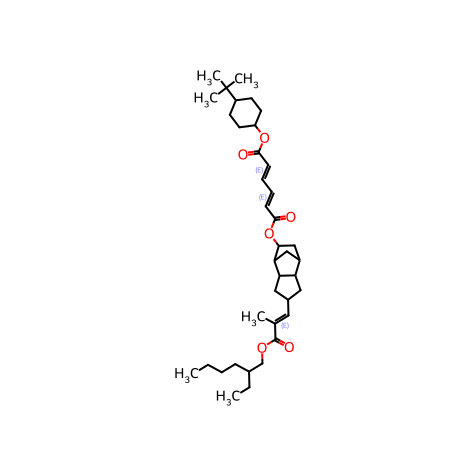 CCCCC(CC)COC(=O)/C(C)=C/C1CC2C3CC(OC(=O)/C=C/C=C/C(=O)OC4CCC(C(C)(C)C)CC4)C(C3)C2C1